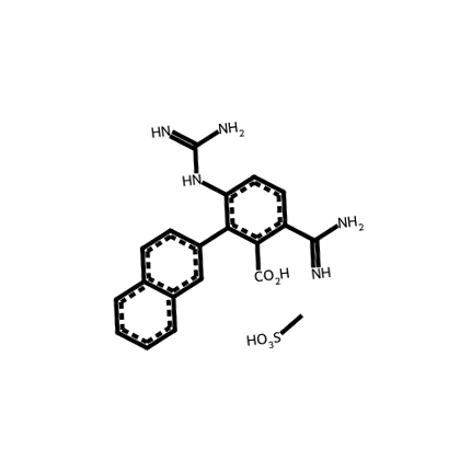 CS(=O)(=O)O.N=C(N)Nc1ccc(C(=N)N)c(C(=O)O)c1-c1ccc2ccccc2c1